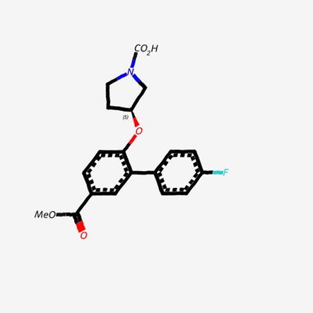 COC(=O)c1ccc(O[C@H]2CCN(C(=O)O)C2)c(-c2ccc(F)cc2)c1